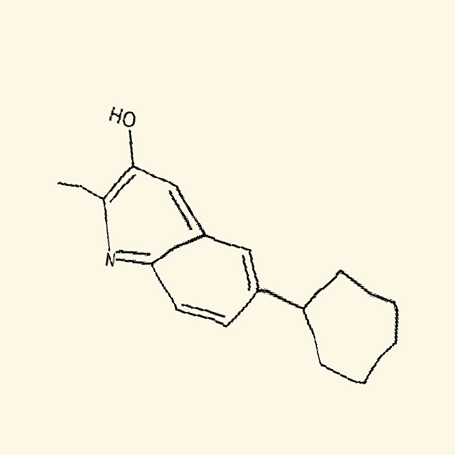 Cc1nc2ccc(C3CCCCC3)cc2cc1O